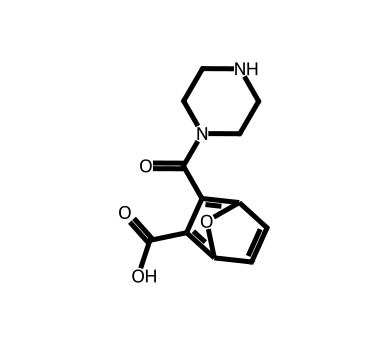 O=C(O)c1c(C(=O)N2CCNCC2)c2ccc1o2